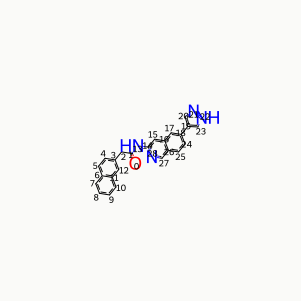 O=C(Cc1ccc2ccccc2c1)Nc1cc2cc(-c3cn[nH]c3)ccc2cn1